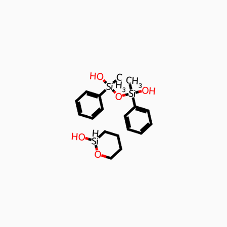 C[Si](O)(O[Si](C)(O)c1ccccc1)c1ccccc1.O[SiH]1CCCCO1